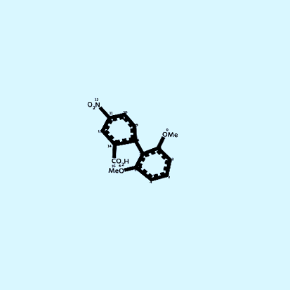 COc1cccc(OC)c1-c1ccc([N+](=O)[O-])cc1C(=O)O